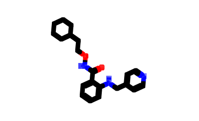 O=C(NOCCC1CCCCC1)c1ccccc1NCc1ccncc1